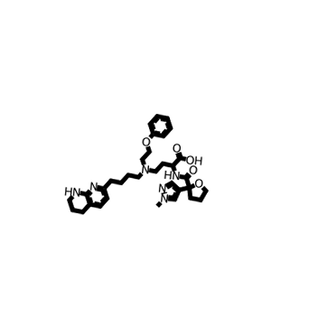 Cn1cc(C2(C(=O)NC(CCN(CCCCc3ccc4c(n3)NCCC4)CCOc3ccccc3)C(=O)O)CCCO2)cn1